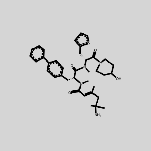 C/C(=C\C(=O)N(C)[C@H](Cc1ccc(-c2ccccc2)cc1)C(=O)N(C)[C@H](Cc1cccs1)C(=O)N1CCC(O)CC1)CC(C)(C)N